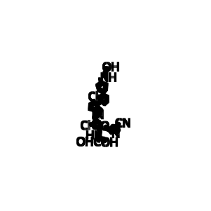 N#Cc1cncc(COc2cc(Cn3ncc4c(-c5cccc(-c6ccc(CNCCO)cc6)c5Cl)cccc43)c(Cl)cc2CNC(C=O)CO)c1